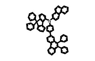 c1ccc(-c2c(-c3ccccc3)c3cc(-c4ccc(N(c5ccc6c(ccc7ccccc76)c5)c5cccc6c5-c5ccccc5C6(c5ccccc5)c5ccccc5)cc4)ccc3c3ccccc23)cc1